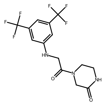 O=C1CN(C(=O)CNc2cc(C(F)(F)F)cc(C(F)(F)F)c2)CCN1